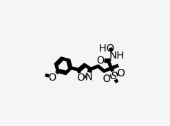 COc1cccc(-c2cc(CCC(C)(C(=O)NO)S(C)(=O)=O)no2)c1